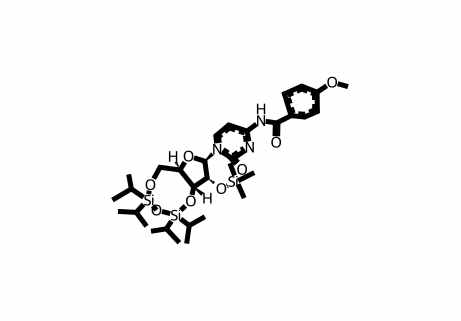 COc1ccc(C(=O)Nc2ccn([C@@H]3O[C@@H]4CO[Si](C(C)C)(C(C)C)O[Si](C(C)C)(C(C)C)O[C@H]4[C@H]3O[Si](C)(C)C)c(=O)n2)cc1